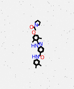 Cc1ccc(NC(=O)c2ccc3nc(-c4c(C)cc(OCC(=O)N5CCCC5)cc4C)[nH]c3c2)cc1C